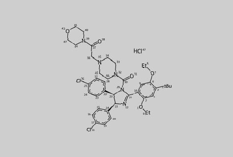 CCOc1cc(C(C)(C)C)c(OCC)cc1C1=N[C@@H](c2ccc(Cl)cc2)[C@@H](c2ccc(Cl)cc2)N1C(=O)N1CCN(CC(=O)N2CCOCC2)CC1.Cl